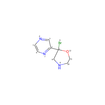 BrC1(c2cnccn2)CNCCO1